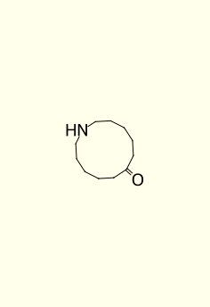 O=C1CCCCCNCCCCC1